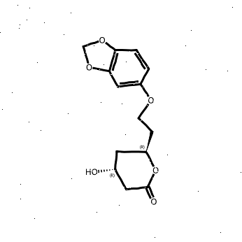 O=C1C[C@H](O)C[C@@H](CCOc2ccc3c(c2)OCO3)O1